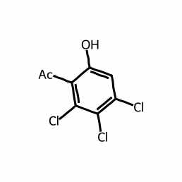 CC(=O)c1c(O)cc(Cl)c(Cl)c1Cl